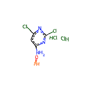 Cl.Cl.Nc1cc(Cl)nc(Cl)n1.O=P